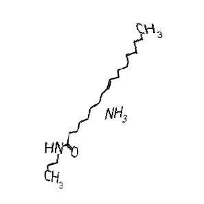 CCCCCCCCC=CCCCCCCCC(=O)NCCC.N